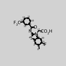 Cc1cc2sc(=NC(=O)c3cccc(C(F)(F)F)c3)n(CC(=O)O)c2cc1F